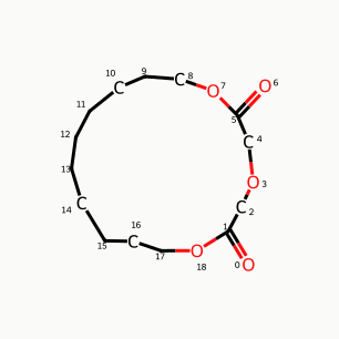 O=C1COCC(=O)OCCCCCCCCCCO1